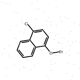 CCOc1ccc(Cl)c2ccccc12